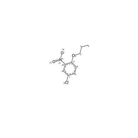 CCCOc1ccc(Cl)cc1[N+](=O)[O-]